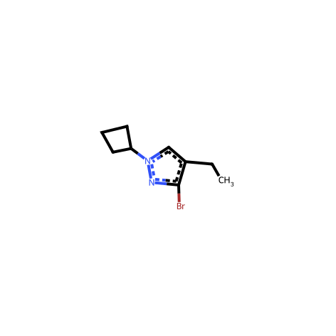 CCc1cn(C2CCC2)nc1Br